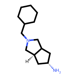 N[C@H]1CC2CN(CC3CCCCC3)C[C@@H]2C1